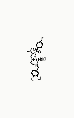 CC(C)C(CN1CCN(Cc2ccc(Cl)c(Cl)c2)CC1)NS(=O)(=O)c1ccc(F)cc1.Cl.Cl